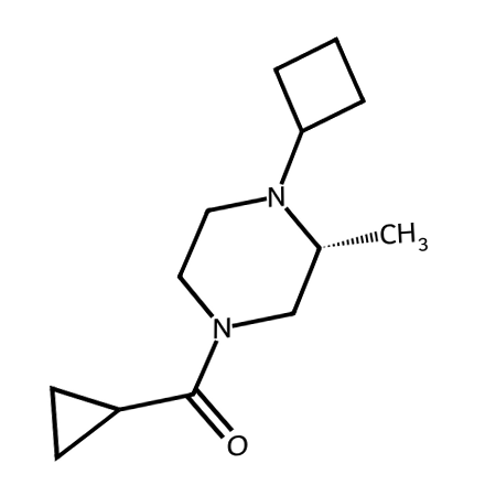 C[C@@H]1CN(C(=O)C2CC2)CCN1C1CCC1